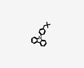 CC(C)(C)Cc1ccc(-n2c3ccccc3c3ccccc32)cc1